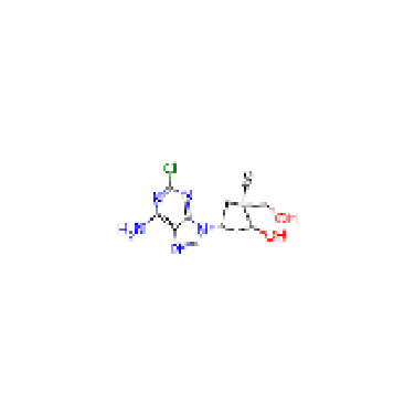 C#C[C@]1(CO)C[C@@H](n2cnc3c(N)nc(Cl)nc32)C[C@@H]1O